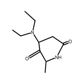 CCN(CC)C1CC(=O)NC(C)C1=O